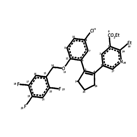 CCOC(=O)c1cc(C2=C(c3cc(Cl)ccc3OCc3cc(F)c(F)cc3F)CCC2)cnc1CC